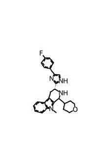 Cn1c2c(c3ccccc31)C[C@H](c1nc(-c3ccc(F)cc3)c[nH]1)NC2C1CCOCC1